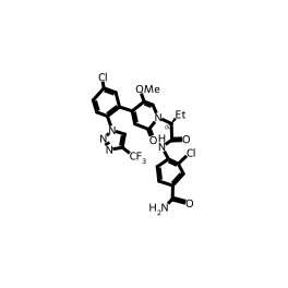 CC[C@@H](C(=O)Nc1ccc(C(N)=O)cc1Cl)n1cc(OC)c(-c2cc(Cl)ccc2-n2cc(C(F)(F)F)nn2)cc1=O